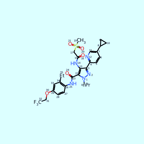 CCCn1nc(-c2ccc(C3CC3)cn2)c(NC(=O)CS(C)(=O)=O)c1C(=O)Nc1ccc(OCC(F)(F)F)cc1CC